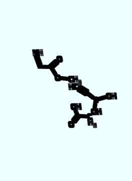 C#CB(O)O.CC(=O)O.COC(=O)C=N